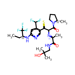 CC[C@H](Nc1cc(C(F)F)c(C(=S)C(/N=C(\C)C(=O)NCC(C)(C)O)C(=O)N2CCC[C@@H]2C)cn1)C(F)(F)F